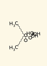 CCCCCCCCCc1ccc(-c2ccccc2)c(-c2ccccc2)c1CCCCCCCCC.OP(O)O